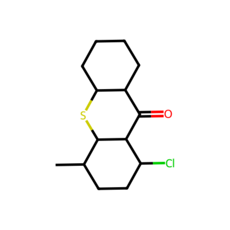 CC1CCC(Cl)C2C(=O)C3CCCCC3SC12